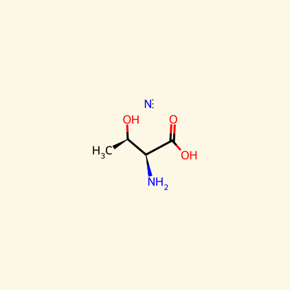 C[C@@H](O)[C@H](N)C(=O)O.[N]